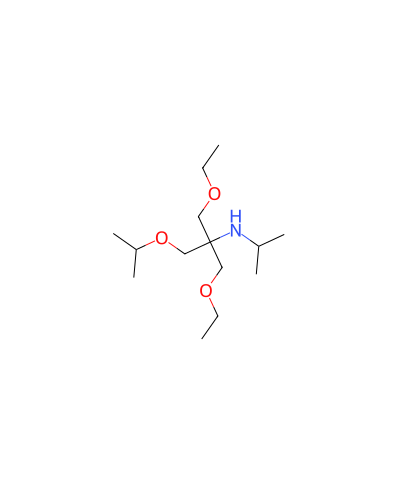 CCOCC(COCC)(COC(C)C)NC(C)C